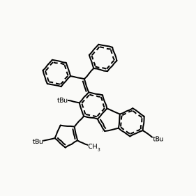 CC1=C(c2c(C(C)(C)C)c(=C(c3ccccc3)c3ccccc3)cc3c2=[C]c2cc(C(C)(C)C)ccc2-3)CC(C(C)(C)C)=C1